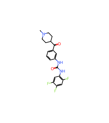 CN1CCC(C(=O)c2cccc(NC(=O)Nc3cc(F)c(F)cc3F)c2)CC1